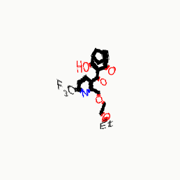 CCOCCOCc1nc(C(F)(F)F)ccc1C(=O)C1=C(O)C2CCC(C2)C1=O